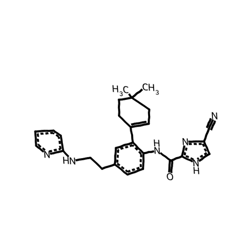 CC1(C)CC=C(c2cc(CCNc3ccccn3)ccc2NC(=O)c2nc(C#N)c[nH]2)CC1